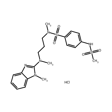 CN(CCCN(C)S(=O)(=O)c1ccc(NS(C)(=O)=O)cc1)c1nc2ccccc2n1C.Cl